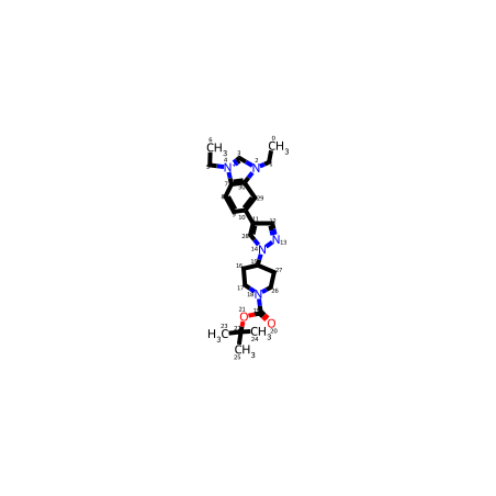 CCn1c[n+](CC)c2ccc(-c3cnn(C4CCN(C(=O)OC(C)(C)C)CC4)c3)cc21